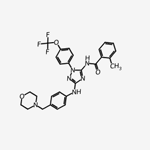 Cc1ccccc1C(=O)Nc1nc(Nc2ccc(CN3CCOCC3)cc2)nn1-c1ccc(OC(F)(F)F)cc1